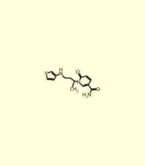 CC(CCNc1ccsc1)n1cc(C(N)=O)ccc1=O